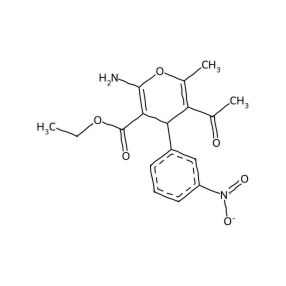 CCOC(=O)C1=C(N)OC(C)=C(C(C)=O)C1c1cccc([N+](=O)[O-])c1